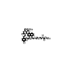 COC(=O)[C@@H]1[C@@H](c2ccc3ccccc3c2)N(CCc2ccc(Cl)cc2NCCOCCOCCOCCNC(=O)OC(C)(C)C)C(=O)CN1C